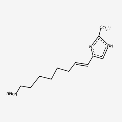 CCCCCCCCCCCCCCCC=Cc1c[nH]c(C(=O)O)n1